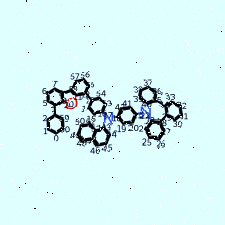 c1ccc(-c2cccc3c2oc2c(-c4ccc(N(c5ccc(N6c7ccccc7-c7ccccc7-c7ccccc76)cc5)c5cccc6ccccc56)cc4)cccc23)cc1